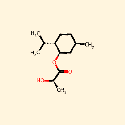 CC(C)[C@@H]1CC[C@@H](C)C[C@H]1OC(=O)[C@@H](C)O